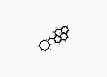 c1cc2ccc3ccc(C[C]4CCCCCCC4)c4ccc(c1)c2c34